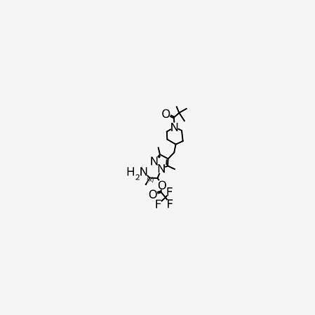 Cc1nn(C(OC(=O)C(F)(F)F)[C@@H](C)N)c(C)c1CC1CCN(C(=O)C(C)(C)C)CC1